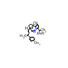 C=C(CCC1CCC(C#N)(c2ccc(C(=C)NC)n2/N=C\C)C1)c1ccc(C)cc1